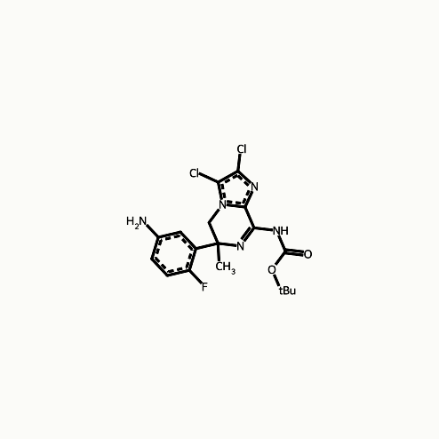 CC(C)(C)OC(=O)NC1=NC(C)(c2cc(N)ccc2F)Cn2c1nc(Cl)c2Cl